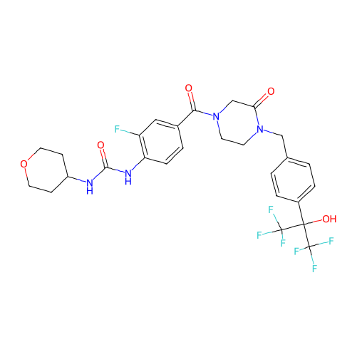 O=C(Nc1ccc(C(=O)N2CCN(Cc3ccc(C(O)(C(F)(F)F)C(F)(F)F)cc3)C(=O)C2)cc1F)NC1CCOCC1